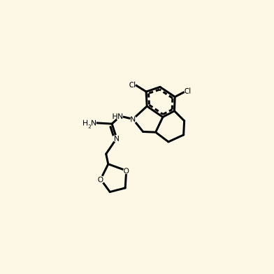 NC(=NCC1OCCO1)NN1CC2CCCc3c(Cl)cc(Cl)c1c32